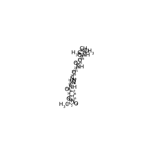 CC1CC(=O)N(CC2CCC(C(=O)NCc3cn(CCOCCNC(=O)COCC(=O)NC(C)C(C)C)nn3)CC2)C1=O